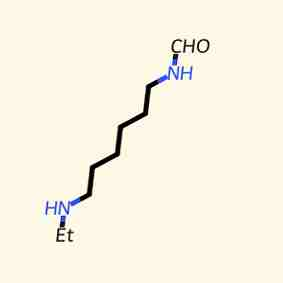 CCNCCCCCCNC=O